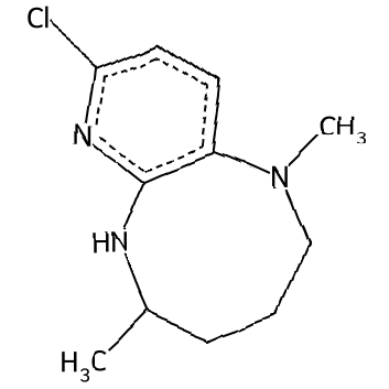 CC1CCCN(C)c2ccc(Cl)nc2N1